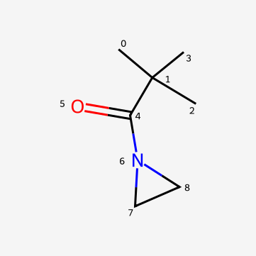 CC(C)(C)C(=O)N1CC1